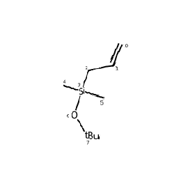 C=CC[Si](C)(C)OC(C)(C)C